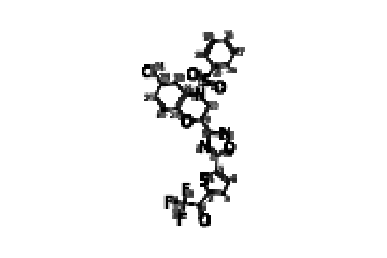 O=C(c1ccc(-c2nc(C3CN(S(=O)(=O)c4ccccc4)c4cc(Cl)ccc4O3)no2)s1)C(F)(F)F